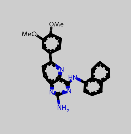 COc1ccc(-c2ccc3nc(N)nc(Nc4cccc5ccccc45)c3n2)cc1OC